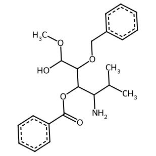 COC(O)C(OCc1ccccc1)C(OC(=O)c1ccccc1)C(N)C(C)C